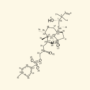 C=CC(C)(C)[C@@H](O)[C@H](C)[C@]12CCC(=O)[C@H]1[C@](C)([C@@H](C)CC(=O)COS(=O)(=O)c1ccc(C)cc1)[C@H](C)CC2